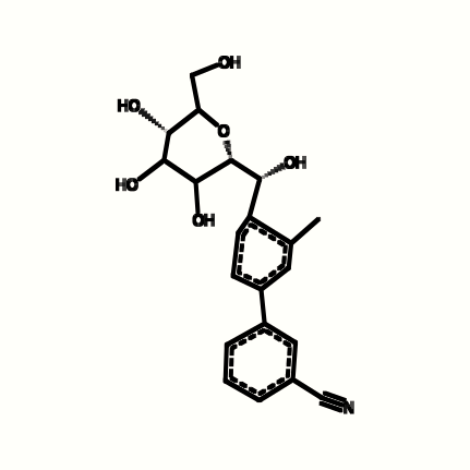 Cc1cc(-c2cccc(C#N)c2)ccc1[C@@H](O)[C@H]1OC(CO)[C@@H](O)C(O)C1O